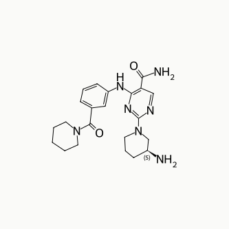 NC(=O)c1cnc(N2CCC[C@H](N)C2)nc1Nc1cccc(C(=O)N2CCCCC2)c1